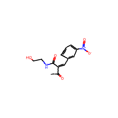 CC(=O)C(=Cc1cccc([N+](=O)[O-])c1)C(=O)NCCO